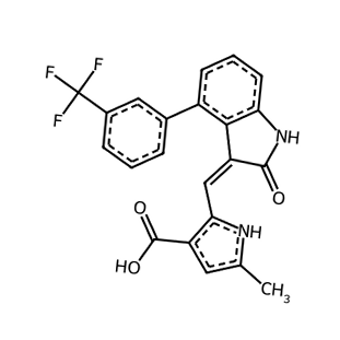 Cc1cc(C(=O)O)c(/C=C2\C(=O)Nc3cccc(-c4cccc(C(F)(F)F)c4)c32)[nH]1